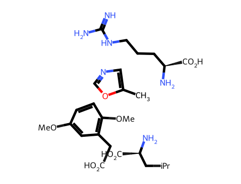 CC(C)C[C@H](N)C(=O)O.COc1ccc(OC)c(CC(=O)O)c1.Cc1cnco1.N=C(N)NCCC[C@H](N)C(=O)O